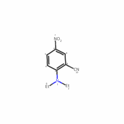 CCN(CC)c1ccc([N+](=O)[O-])cc1C#N